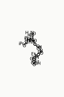 CCc1c2c(nc3ccc(OC(=O)N(C)CCN(C)C(=O)OCc4ccc(NC(=O)[C@H](CCCNC(N)=O)NC(=O)[C@@H](NC(=O)C5CCC(C(=O)C(C)C)S5)C(C)C)cc4)cc13)-c1cc3c(c(=O)n1C2)COC(=O)[C@]3(O)CC